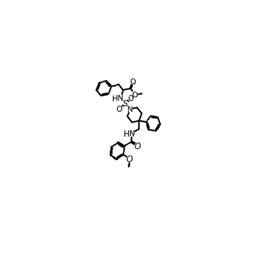 COC(=O)C(Cc1ccccc1)NS(=O)(=O)N1CCC(CNC(=O)c2ccccc2OC)(c2ccccc2)CC1